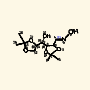 CC1(C)OC(/C=N/O)[C@H]([C@@H](O)[C@H]2COC(C)(C)O2)O1